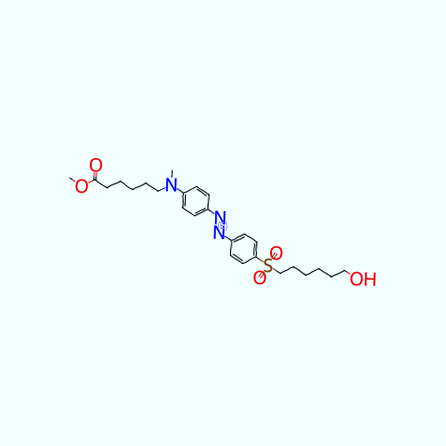 COC(=O)CCCCCN(C)c1ccc(/N=N/c2ccc(S(=O)(=O)CCCCCCO)cc2)cc1